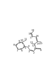 C=C(/C=C\Cc1ccccc1C)C(C)/C(C)=C\C=C/C